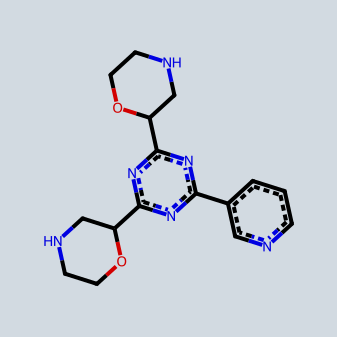 c1cncc(-c2nc(C3CNCCO3)nc(C3CNCCO3)n2)c1